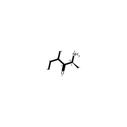 CCC(C)C(=O)[C@H](C)N